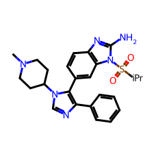 CC(C)S(=O)(=O)n1c(N)nc2ccc(-c3c(-c4ccccc4)ncn3C3CCN(C)CC3)cc21